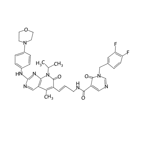 Cc1c(C=CCNC(=O)c2cncn(Cc3ccc(F)c(F)c3)c2=O)c(=O)n(C(C)C)c2nc(Nc3ccc(N4CCOCC4)cc3)ncc12